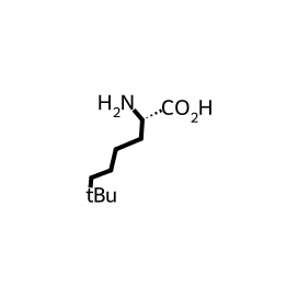 CC(C)(C)CCCC[C@H](N)C(=O)O